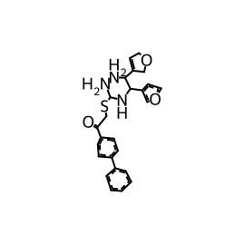 NC(NC(c1ccoc1)C(N)C1=CCOC1)SCC(=O)c1ccc(-c2ccccc2)cc1